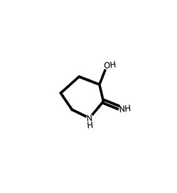 N=C1NCCCC1O